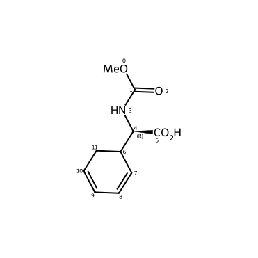 COC(=O)N[C@@H](C(=O)O)C1C=CC=CC1